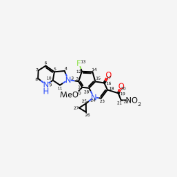 COc1c(N2CC3=CCCNC3C2)c(F)cc2c(=O)c(C(=O)C[N+](=O)[O-])cn(C3CC3)c12